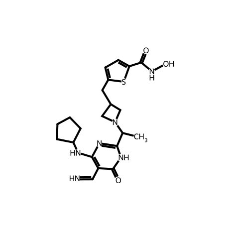 CC(c1nc(NC2CCCC2)c(C=N)c(=O)[nH]1)N1CC(Cc2ccc(C(=O)NO)s2)C1